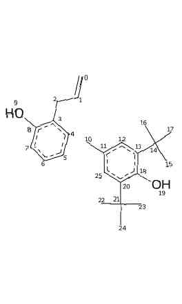 C=CCc1ccccc1O.Cc1cc(C(C)(C)C)c(O)c(C(C)(C)C)c1